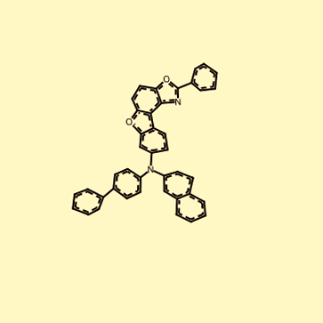 c1ccc(-c2ccc(N(c3ccc4ccccc4c3)c3ccc4c(c3)oc3ccc5oc(-c6ccccc6)nc5c34)cc2)cc1